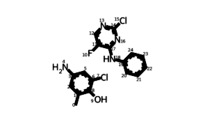 Cc1cc(N)cc(Cl)c1O.Fc1cnc(Cl)nc1Nc1ccccc1